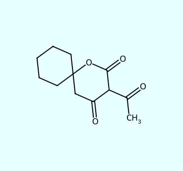 CC(=O)C1C(=O)CC2(CCCCC2)OC1=O